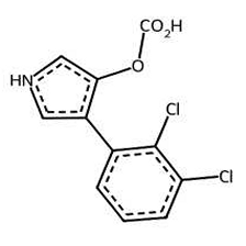 O=C(O)Oc1c[nH]cc1-c1cccc(Cl)c1Cl